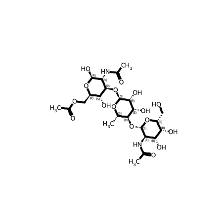 CC(=O)N[C@@H]1[C@@H](O[C@@H]2O[C@@H](C)[C@H](O[C@@H]3O[C@H](CO)[C@H](O)[C@H](O)[C@H]3NC(C)=O)[C@@H](O)[C@H]2O)[C@H](O)[C@@H](COC(C)=O)O[C@H]1O